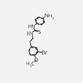 COc1ccc(CCNC(=S)Nc2ccc(N)cc2)cc1Br